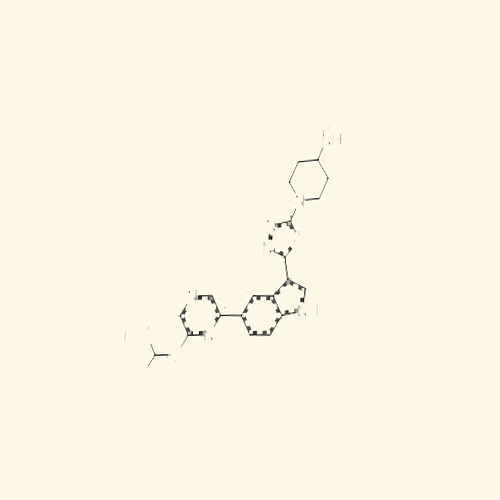 CC(C)Oc1cncc(-c2ccc3[nH]cc(-c4nnc(N5CCC(N)CC5)o4)c3c2)n1